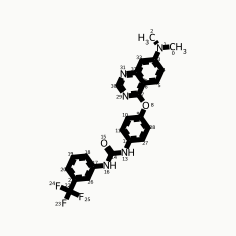 CN(C)c1ccc2c(Oc3ccc(NC(=O)Nc4cccc(C(F)(F)F)c4)cc3)ncnc2c1